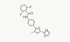 Cc1cc(-c2ncco2)sc1-c1ccc(NC(=O)c2c(F)cccc2F)cc1